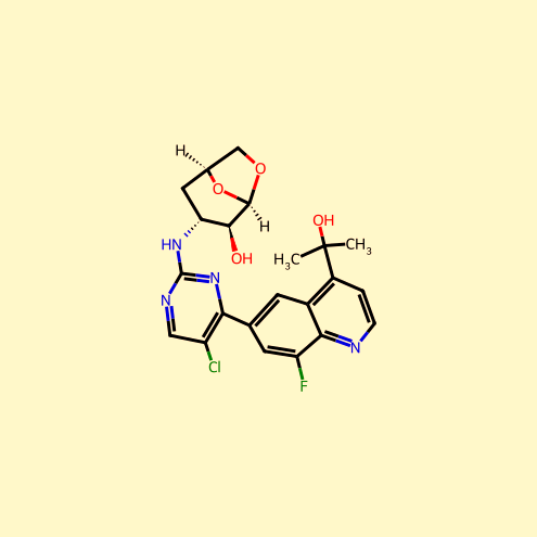 CC(C)(O)c1ccnc2c(F)cc(-c3nc(N[C@@H]4C[C@H]5CO[C@H](O5)[C@H]4O)ncc3Cl)cc12